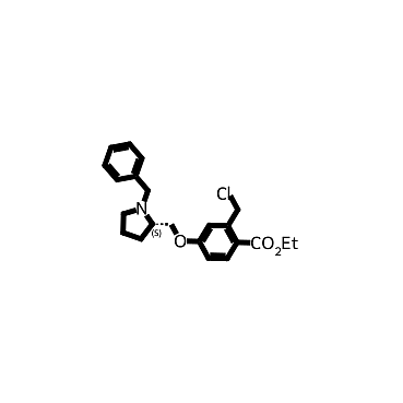 CCOC(=O)c1ccc(OC[C@@H]2CCCN2Cc2ccccc2)cc1CCl